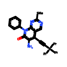 CSc1ncc2c(C#C[Si](C(C)C)(C(C)C)C(C)C)c(N)c(=O)n(-c3ccccc3)c2n1